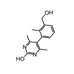 Cc1nc(O)nc(C)c1-c1cccc(CO)c1C